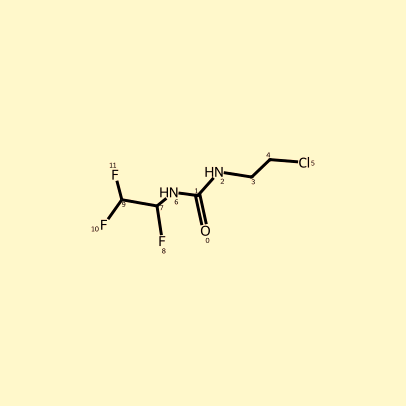 O=C(NCCCl)NC(F)C(F)F